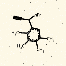 [C]#CC(CCC)c1cc(C)c(C)c(C)c1C